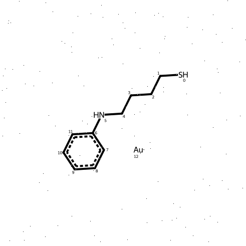 SCCCCNc1ccccc1.[Au]